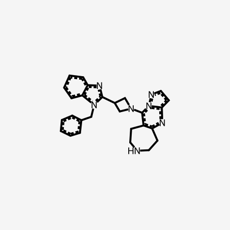 c1ccc(Cn2c(C3CN(c4c5c(nc6ccnn46)CCNCC5)C3)nc3ccccc32)cc1